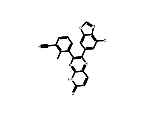 Cc1c(C#N)cccc1-c1nc2[nH]c(=O)ccc2nc1-c1cc(Cl)c2ncoc2c1